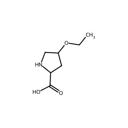 CCOC1CNC(C(=O)O)C1